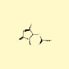 CCCC(=O)OC1C(CC)=CC(=O)N1C